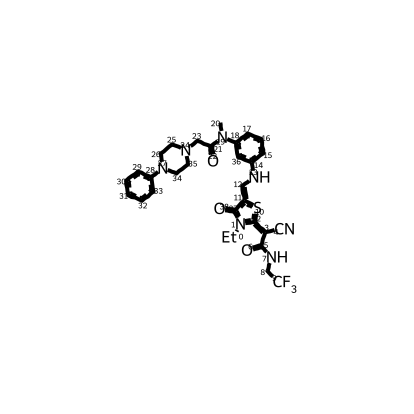 CCn1c(=C(C#N)C(=O)NCC(F)(F)F)sc(=CNc2cccc(N(C)C(=O)CN3CCN(c4ccccc4)CC3)c2)c1=O